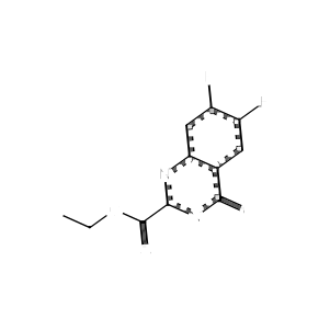 CCOC(=O)c1nc2cc(F)c(F)cc2c(=O)[nH]1